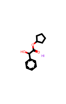 I.O=C(OC1CCCC1)C(O)c1ccccc1